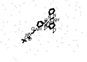 COc1cc(Nc2nc3ccccc3nc2NS(=O)(=O)c2cccc(NC(=O)CNC(=O)OC(C)(C)C)c2)cc(OC)c1